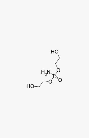 NP(=O)(OCCO)OCCO